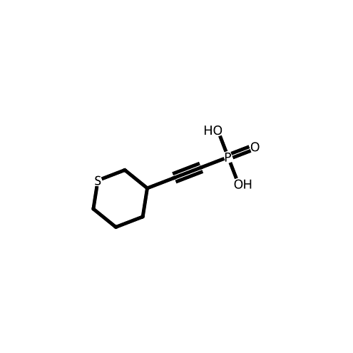 O=P(O)(O)C#CC1CCCSC1